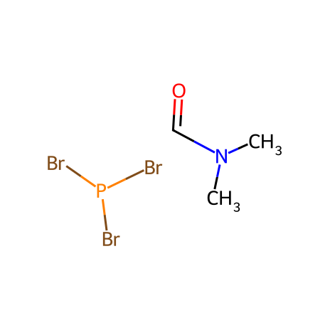 BrP(Br)Br.CN(C)C=O